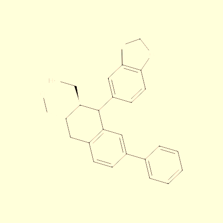 OC[C@H]1Cc2ccc(-c3ccccc3)cc2C(c2ccc3c(c2)OCO3)[C@@H]1CO